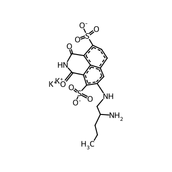 CCCC(N)CNc1cc2ccc(S(=O)(=O)[O-])c3c2c(c1S(=O)(=O)[O-])C(=O)NC3=O.[K+].[K+]